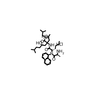 CCCC[C@@H](C(=O)NC(CC(C)O)(C[C@@H](O)CCC(C)C)C(=O)NCC(C)C)N(C(=O)[C@H](C)N)c1cccc2ccccc12.Cl